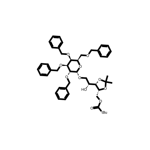 CC1(C)O[C@@H]([C@H](O)CO[C@H]2O[C@H](COCc3ccccc3)[C@H](OCc3ccccc3)[C@H](OCc3ccccc3)[C@H]2OCc2ccccc2)[C@@H](COC(=O)C(C)(C)C)O1